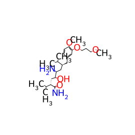 COCCCOc1cc(C[C@@H](C[C@H](N)[C@@H](O)C[C@H](C(N)=O)C(C)C)C(C)C)ccc1OC